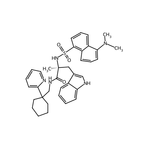 CN(C)c1cccc2c(S(=O)(=O)N[C@@](C)(Cc3c[nH]c4ccccc34)C(=O)NCC3(c4ccccn4)CCCCC3)cccc12